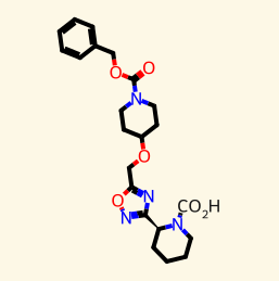 O=C(OCc1ccccc1)N1CCC(OCc2nc([C@@H]3CCCCN3C(=O)O)no2)CC1